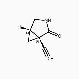 C#C[C@@]12C[C@@H]1CNC2=O